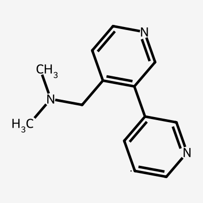 CN(C)Cc1ccncc1-c1c[c]cnc1